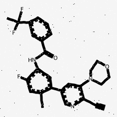 C#Cc1ncc(-c2cc(NC(=O)c3cccc(C(C)(F)F)c3)c(F)cc2C)cc1N1CCOCC1